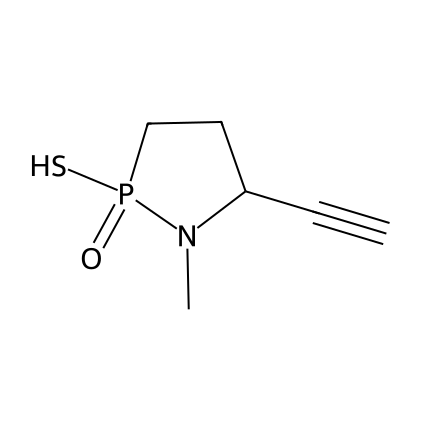 C#CC1CCP(=O)(S)N1C